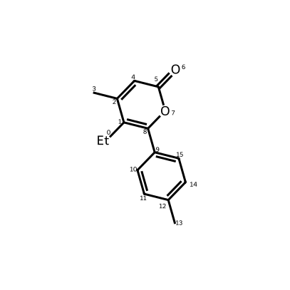 CCc1c(C)cc(=O)oc1-c1ccc(C)cc1